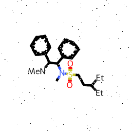 CCC(CC)CCS(=O)(=O)N(C)C(c1ccccc1)C(NC)c1ccccc1